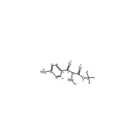 CNC(C(=O)OC(C)(C)C)C(=O)c1ccc(O)cc1